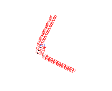 N.O.O.O.O.O.O.O.O.O.O.O.O.O.O.O.O.O.O.O.O.O.O.O.O.O.O.O.O.O.O.O.O.O.O.O.O.O=CO.O=CO.O=CO.O=CO